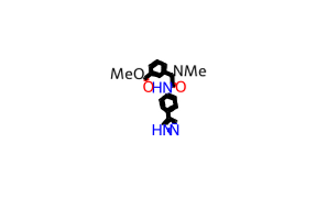 CNC(C(=O)Nc1ccc(-c2cn[nH]c2)cc1)c1cccc(C(=O)OC)c1